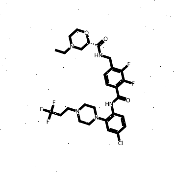 CCN1CCO[C@H](C(=O)NCc2ccc(C(=O)Nc3ccc(Cl)cc3N3CCN(CCC(F)(F)F)CC3)c(F)c2F)C1